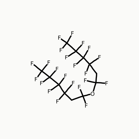 FC(F)(CC(F)(F)C(F)(F)C(F)(F)C(F)(F)F)OC(F)(F)CC(F)(F)C(F)(F)C(F)(F)C(F)(F)F